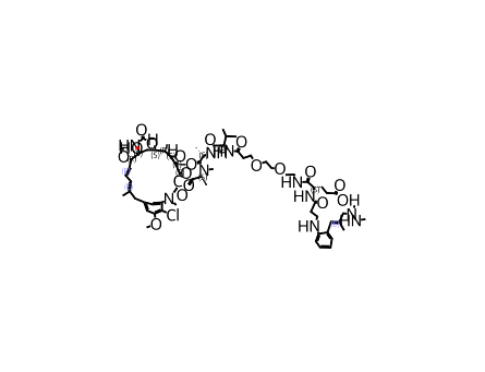 CNN(C)C/C(C)=C/c1ccccc1NCCC(=O)N[C@@H](CCC(=O)O)C(=O)NCCOCCOCCC(=O)N[C@H](C(=O)N[C@@H](C)C(=O)N(C)[C@@H](C)C(=O)O[C@H]1CC(=O)N(C)c2cc(cc(OC)c2Cl)C/C(C)=C/C=C/[C@@H](OC)[C@@]2(O)C[C@H](OC(=O)N2)[C@@H](C)[C@@H]2O[C@]12C)C(C)C